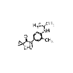 Cc1cc(NC(=O)C2(C)CC2)ccc1NC(C)C